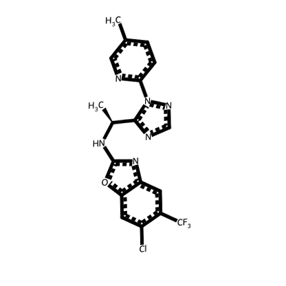 Cc1ccc(-n2ncnc2[C@H](C)Nc2nc3cc(C(F)(F)F)c(Cl)cc3o2)nc1